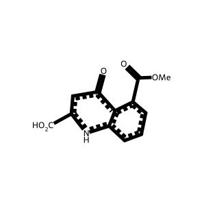 COC(=O)c1cccc2[nH]c(C(=O)O)cc(=O)c12